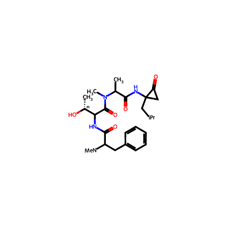 CNC(Cc1ccccc1)C(=O)NC(C(=O)N(C)C(C)C(=O)NC1(CC(C)C)CC1=O)[C@@H](C)O